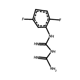 N=C(N)NC(=N)Nc1cc(F)ccc1F